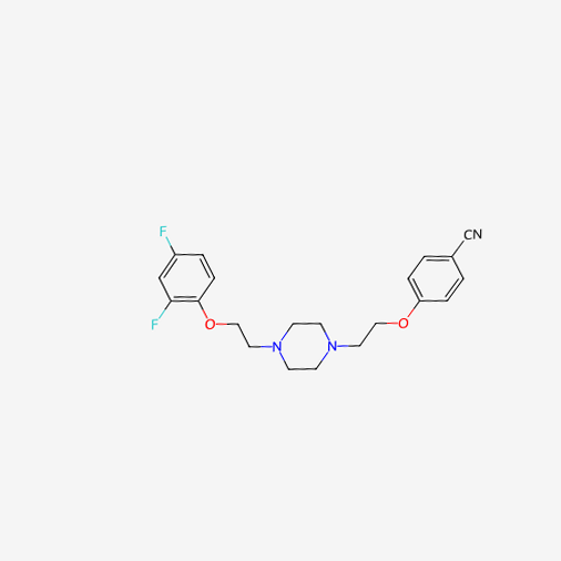 N#Cc1ccc(OCCN2CCN(CCOc3ccc(F)cc3F)CC2)cc1